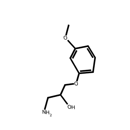 COc1cccc(OCC(O)CN)c1